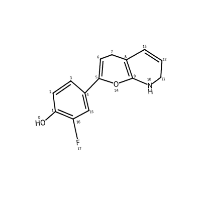 Oc1ccc(C2=CCC3=C(NCC=C3)O2)cc1F